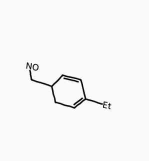 CCC1=CCC(CN=O)C=C1